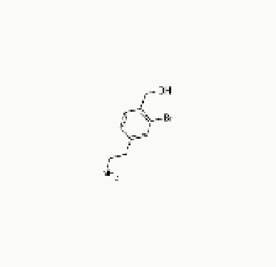 NCCc1ccc(CO)c(Br)c1